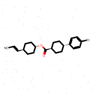 CCc1ccc([C@H]2CC[C@H](C(=O)O[C@H]3CC[C@H](C=CC#N)CC3)CC2)cc1